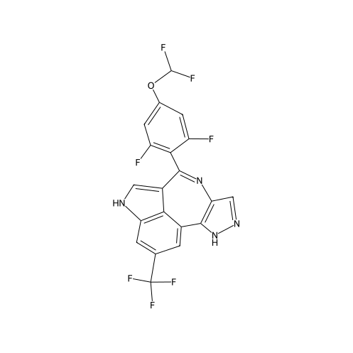 Fc1cc(OC(F)F)cc(F)c1C1=Nc2cn[nH]c2-c2cc(C(F)(F)F)cc3[nH]cc1c23